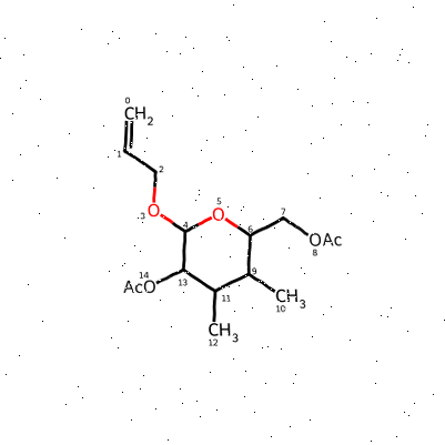 C=CCOC1OC(COC(C)=O)C(C)C(C)C1OC(C)=O